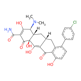 CN(C)[C@@H]1C(O)=C(C(N)=O)C(=O)[C@@]2(O)C(O)=C3C(=O)c4c(O)ccc(-c5ccc(Cl)cc5)c4C[C@H]3C[C@@H]12